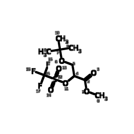 COC(=O)C(COC(C)(C)C)OS(=O)(=O)C(F)(F)F